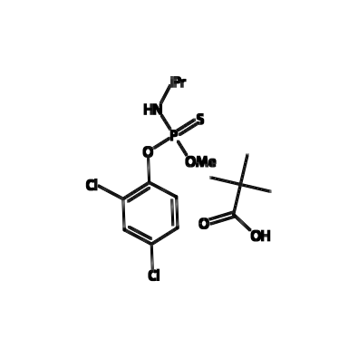 CC(C)(C)C(=O)O.COP(=S)(NC(C)C)Oc1ccc(Cl)cc1Cl